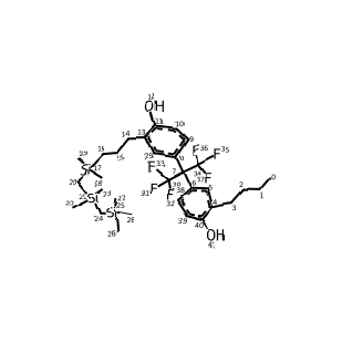 CCCCc1cc(C(c2ccc(O)c(CCC[Si](C)(C)C[Si](C)(C)C[Si](C)(C)C)c2)(C(F)(F)F)C(F)(F)F)ccc1O